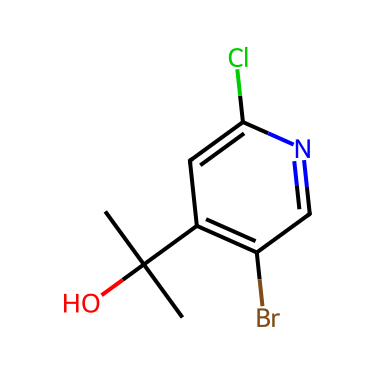 CC(C)(O)c1cc(Cl)ncc1Br